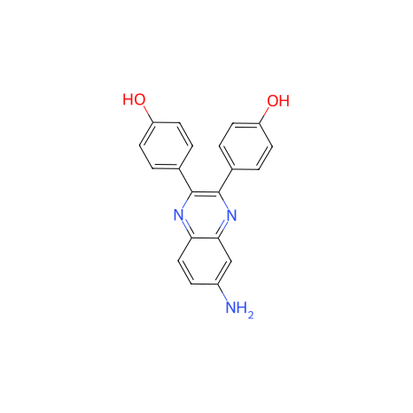 Nc1ccc2nc(-c3ccc(O)cc3)c(-c3ccc(O)cc3)nc2c1